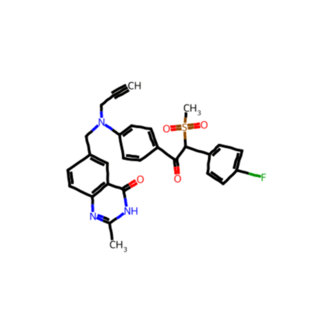 C#CCN(Cc1ccc2nc(C)[nH]c(=O)c2c1)c1ccc(C(=O)C(c2ccc(F)cc2)S(C)(=O)=O)cc1